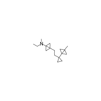 CCN(C)C12CC1(CCC1(C34CC3(C)C4)CC1)C2